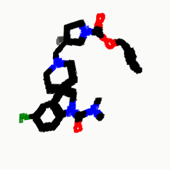 CC#CCOC(=O)N1CC[C@H](CN2CCC3(CC2)CN(C(=O)N(C)C)c2ccc(F)cc23)C1